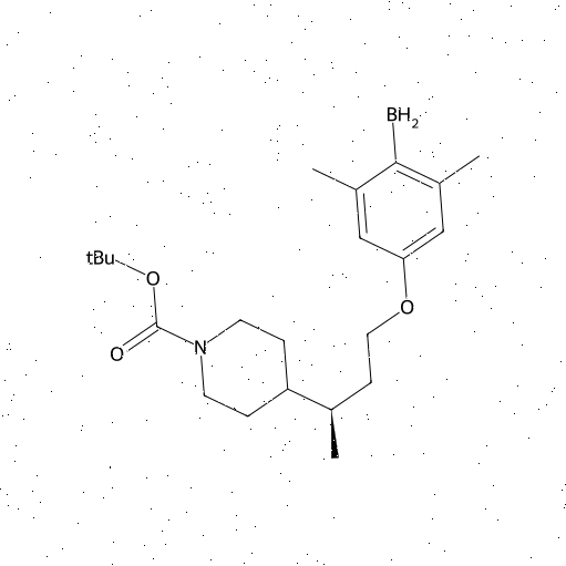 Bc1c(C)cc(OCC[C@@H](C)C2CCN(C(=O)OC(C)(C)C)CC2)cc1C